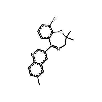 Cc1ccc2ncc(C3=NCC(C)(C)Oc4c(Cl)cccc43)cc2c1